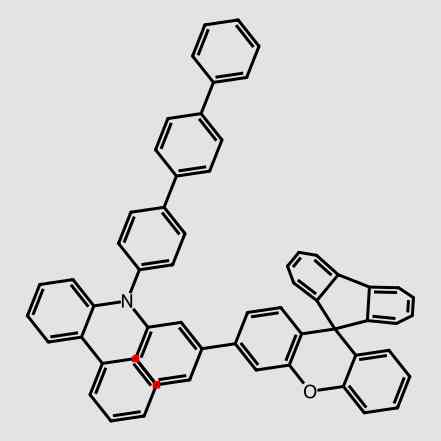 c1ccc(-c2ccc(-c3ccc(N(c4cccc(-c5ccc6c(c5)Oc5ccccc5C65c6ccccc6-c6ccccc65)c4)c4ccccc4-c4ccccc4)cc3)cc2)cc1